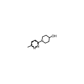 Cc1ccc(N2CCC(O)CC2)nn1